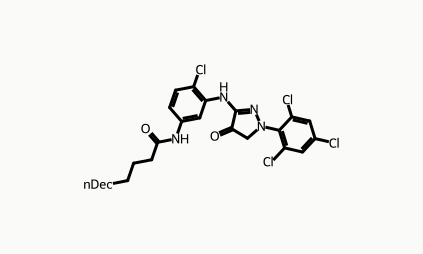 CCCCCCCCCCCCCC(=O)Nc1ccc(Cl)c(NC2=NN(c3c(Cl)cc(Cl)cc3Cl)CC2=O)c1